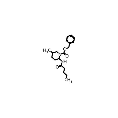 CCCCC(=O)NC1CCC(C)CN1C(=O)OCc1ccccc1